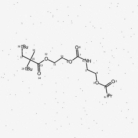 CC(C)C(=O)OCCNC(=O)OCCOC(=O)C(C)(CC(C)(C)C)C(C)(C)C